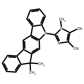 Cn1c(-n2c3ccccc3c3cc4c(cc32)C(C)(C)c2ccccc2-4)nc(C#N)c1C#N